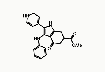 COC(=O)C1CC(=O)c2c([nH]c(C3=CCNC=C3)c2Nc2ccccc2)C1